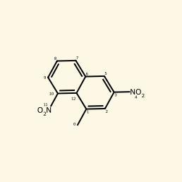 Cc1cc([N+](=O)[O-])cc2cccc([N+](=O)[O-])c12